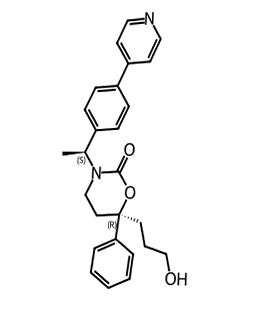 C[C@@H](c1ccc(-c2ccncc2)cc1)N1CC[C@](CCCO)(c2ccccc2)OC1=O